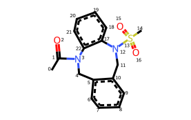 CC(=O)N1Cc2ccccc2CN(S(C)(=O)=O)c2ccccc21